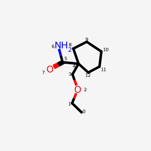 CCOCC1(C(N)=O)CCCCC1